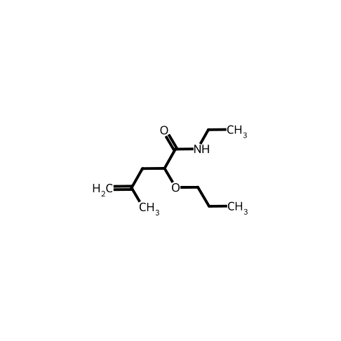 C=C(C)CC(OCCC)C(=O)NCC